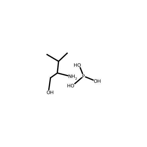 CC(C)C(N)CO.OP(O)O